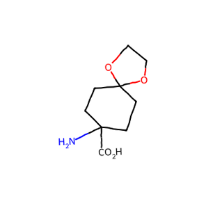 NC1(C(=O)O)CCC2(CC1)OCCO2